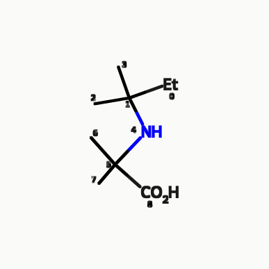 CCC(C)(C)NC(C)(C)C(=O)O